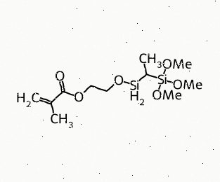 C=C(C)C(=O)OCCO[SiH2]C(C)[Si](OC)(OC)OC